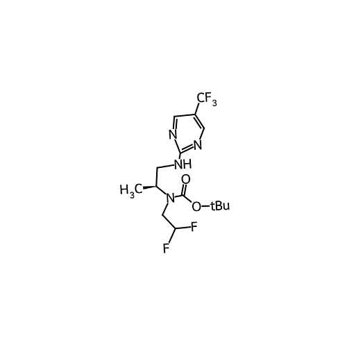 C[C@@H](CNc1ncc(C(F)(F)F)cn1)N(CC(F)F)C(=O)OC(C)(C)C